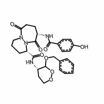 O=C(N[C@H]1CCC(=O)N2CCC[C@@H](C(=O)N[C@H]3CCOOC3OCc3ccccc3)N2C1=O)c1ccc(O)cc1